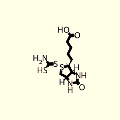 NC(=S)S.O=C(O)CCCC[C@@H]1SC[C@@H]2NC(=O)N[C@@H]21